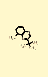 CC1CC=Cc2ncc(C(C)(C)C)nc21